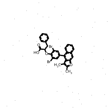 Cc1oc2cc3ccccc3c(-c3cc(Br)c(OC(Cc4ccccc4)C(=O)O)c(Br)c3)c2c1C